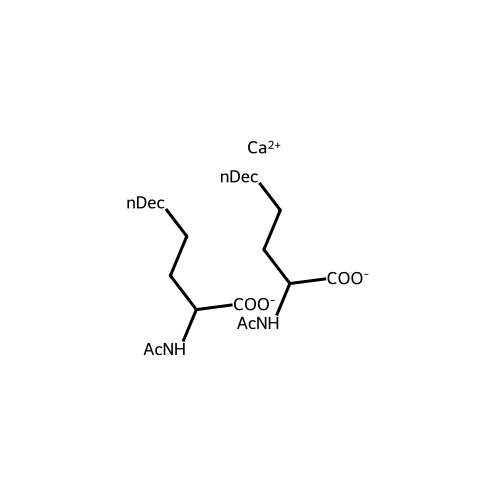 CCCCCCCCCCCCC(NC(C)=O)C(=O)[O-].CCCCCCCCCCCCC(NC(C)=O)C(=O)[O-].[Ca+2]